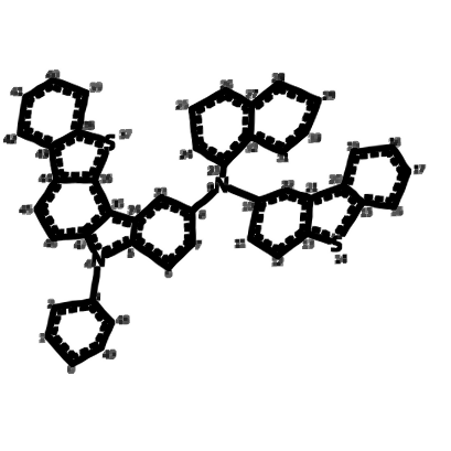 c1ccc(-n2c3ccc(N(c4ccc5sc6ccccc6c5c4)c4cccc5ccccc45)cc3c3c4sc5ccccc5c4ccc32)cc1